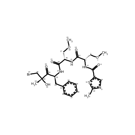 COC[C@H](NC(=O)c1cnc(C)s1)C(=O)N[C@@H](COC)C(=O)N[C@@H](Cc1ccccc1)C(=O)[C@](C)(O)CBr